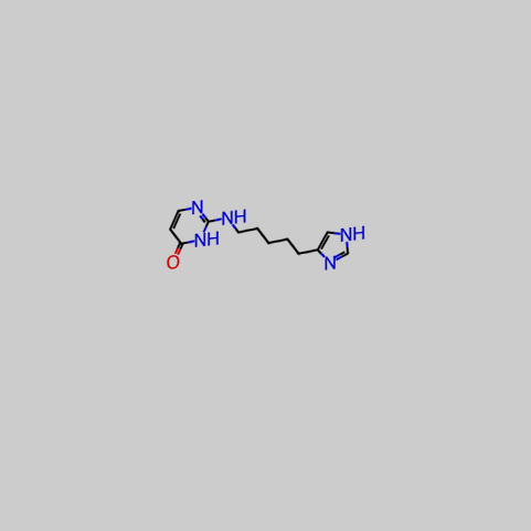 O=c1ccnc(NCCCCCc2c[nH]cn2)[nH]1